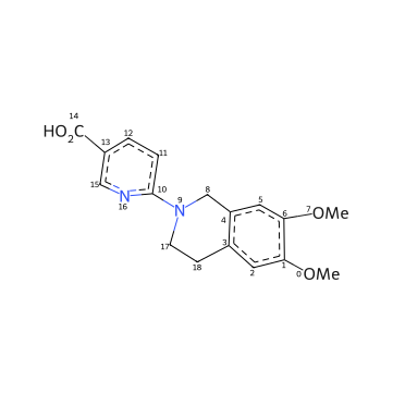 COc1cc2c(cc1OC)CN(c1ccc(C(=O)O)cn1)CC2